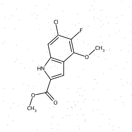 COC(=O)c1cc2c(OC)c(F)c(Cl)cc2[nH]1